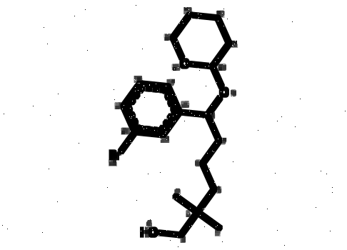 CC(C)(CO)CCCC(OC1CCCCO1)c1cccc(Br)c1